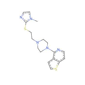 Cn1ccnc1SCCN1CCN(c2nccc3sccc23)CC1